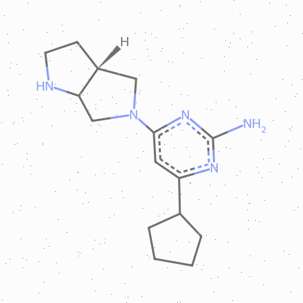 Nc1nc(C2CCCC2)cc(N2CC3NCC[C@@H]3C2)n1